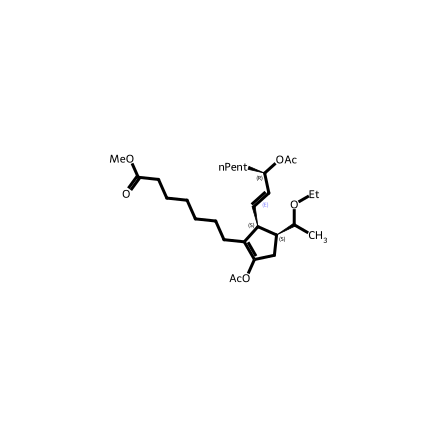 CCCCC[C@H](/C=C/[C@@H]1C(CCCCCCC(=O)OC)=C(OC(C)=O)C[C@@H]1C(C)OCC)OC(C)=O